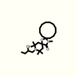 CCC(O)CN1C(C)(C)CC2(CC1(C)C)OC1(CCCCCCCCCCC1)N(C)C2=O